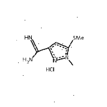 CSc1cc(C(=N)N)nn1C.Cl